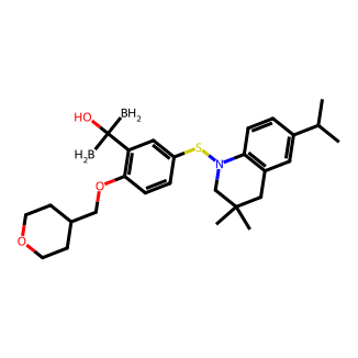 BC(B)(O)c1cc(SN2CC(C)(C)Cc3cc(C(C)C)ccc32)ccc1OCC1CCOCC1